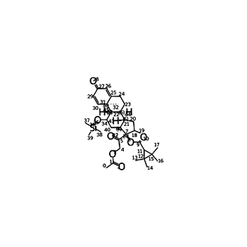 CC(=O)OCC(=O)[C@@]1(OC(=O)C2C(C)(C)C2(C)C)C(C)C[C@H]2[C@@H]3CCC4=CC(=O)C=C[C@]4(C)[C@H]3C(O[Si](C)(C)C)C[C@@]21C